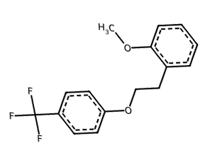 COc1ccccc1CCOc1ccc(C(F)(F)F)cc1